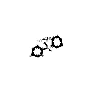 C[N+](C)(c1ccccc1)c1ccccc1.O=C[O-]